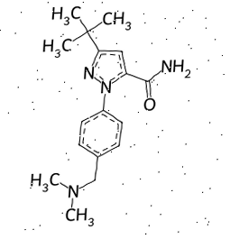 CN(C)Cc1ccc(-n2nc(C(C)(C)C)cc2C(N)=O)cc1